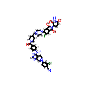 N#Cc1ccc(N2CCc3c(ncnc3Nc3ccc(C(=O)N4CCC(CN5CCN(c6cc7c(cc6F)C(=O)N(C6CCC(=O)NC6=O)C7=O)CC5)CC4)cc3)C2)cc1Cl